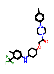 Cc1ccc(N2CCN(C(=O)COC3CCC(Nc4ccc(C)c(C(F)(F)F)c4)CC3)CC2)cc1